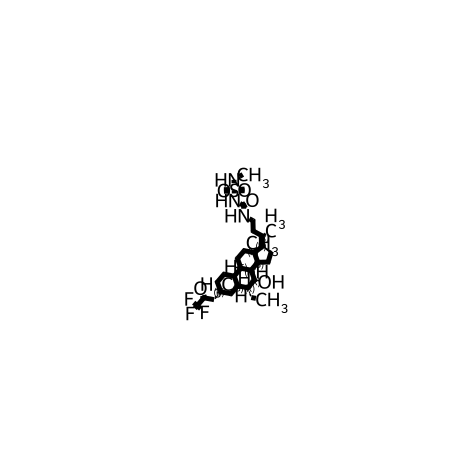 CC[C@H]1[C@@H](O)[C@H]2[C@H](CC[C@]3(C)[C@@H]([C@H](C)CCNC(=O)NS(=O)(=O)NC)CC[C@@H]23)C2(C)CC[C@@H](CC(=O)C(F)(F)F)C[C@@H]12